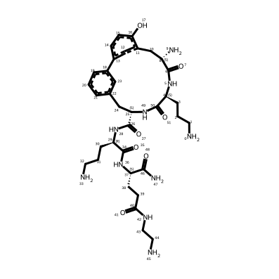 NCCC[C@@H]1NC(=O)[C@@H](N)Cc2cc(ccc2O)-c2cccc(c2)C[C@@H](C(=O)N[C@H](CCCN)C(=O)N[C@@H](CCC(=O)NCCN)C(N)=O)NC1=O